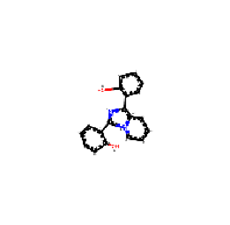 Oc1ccccc1-c1nc(-c2ccccc2O)n2ccccc12